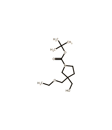 CCOCC1(CO)CCN(C(=O)OC(C)(C)C)C1